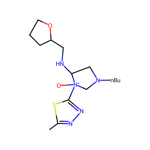 CCCCN1CC(NCC2CCCO2)[N+]([O-])(c2nnc(C)s2)C1